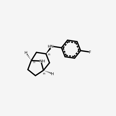 Fc1ccc(N[C@H]2C[C@H]3CC[C@@H](C2)N3)cc1